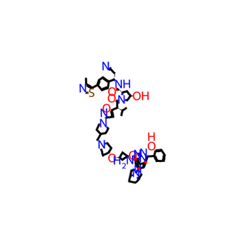 Cc1ncsc1-c1ccc([C@H](CC#N)NC(=O)[C@@H]2C[C@@H](O)CN2C(=O)[C@@H](c2cc(N3CCC(CN4CCC(O[C@H]5C[C@H](Oc6cc(N7C8CCC7CN(c7cc(-c9ccccc9O)nnc7N)C8)ccn6)C5)CC4)CC3)no2)C(C)C)cc1